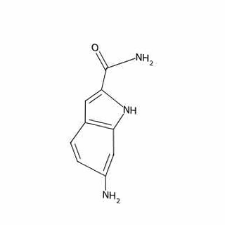 NC(=O)c1cc2ccc(N)cc2[nH]1